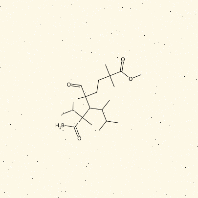 BC(=O)C(C)(C(C)C)C(C(C)C(C)C)C(C)(C=O)CCC(C)(C)C(=O)OC